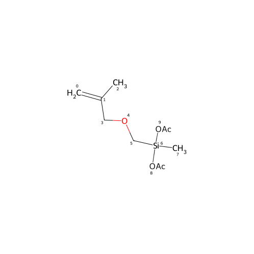 C=C(C)COC[Si](C)(OC(C)=O)OC(C)=O